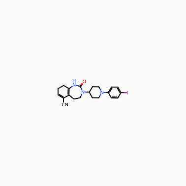 N#CC1=CCCC2=C1CCN(C1CCN(c3ccc(I)cc3)CC1)C(=O)N2